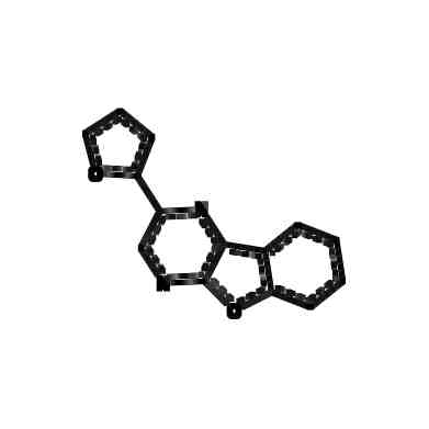 c1coc(-c2cnc3oc4ccccc4c3n2)c1